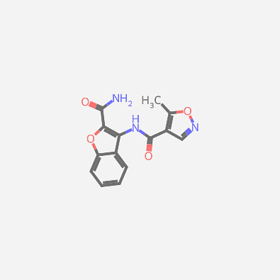 Cc1oncc1C(=O)Nc1c(C(N)=O)oc2ccccc12